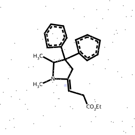 CCOC(=O)C/C=C1\CC(c2ccccc2)(c2ccccc2)C(C)N1C